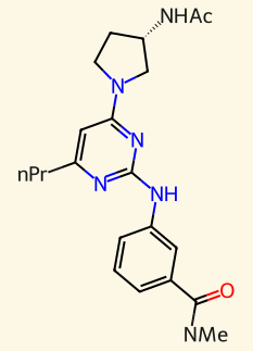 CCCc1cc(N2CC[C@H](NC(C)=O)C2)nc(Nc2cccc(C(=O)NC)c2)n1